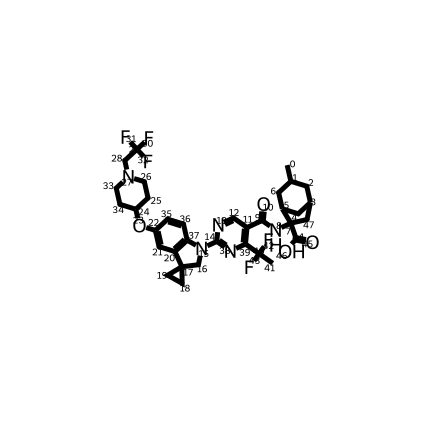 CC1CC2CC(C1)C(NC(=O)c1cnc(N3CC4(CC4)c4cc(OC5CCN(CC(F)(F)F)CC5)ccc43)nc1C(C)(F)F)(C(=O)O)C2